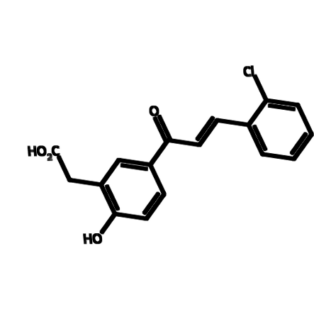 O=C(O)Cc1cc(C(=O)/C=C/c2ccccc2Cl)ccc1O